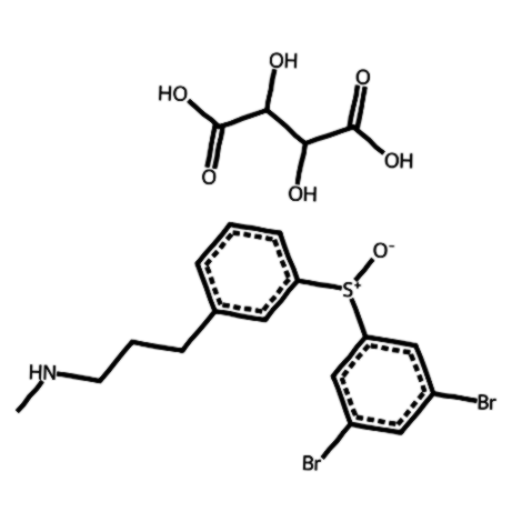 CNCCCc1cccc([S+]([O-])c2cc(Br)cc(Br)c2)c1.O=C(O)C(O)C(O)C(=O)O